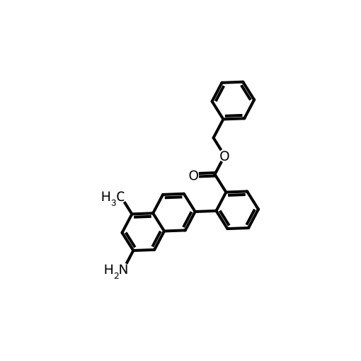 Cc1cc(N)cc2cc(-c3ccccc3C(=O)OCc3ccccc3)ccc12